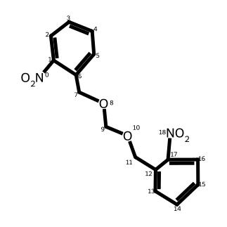 O=[N+]([O-])c1ccccc1COCOCc1ccccc1[N+](=O)[O-]